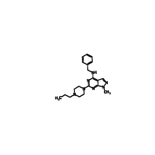 CCCN1CCN(c2nc(NCc3ccccc3)c3cnn(C)c3n2)CC1